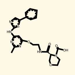 Cc1nc(Nc2ncc(-c3ccccc3)s2)cc(OCCNC(=O)[C@@H]2COCCN2C(=O)O)n1